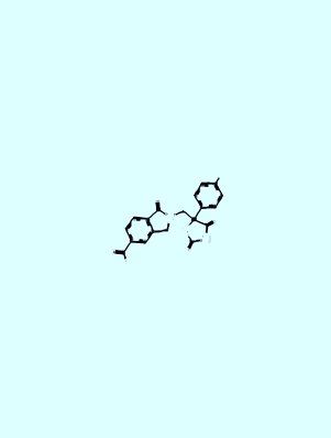 O=C1NC(=O)C(CN2Cc3cc(C(=O)O)ccc3C2=O)(c2ccc(F)cc2)N1